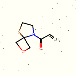 C=CC(=O)N1CCSC12COC2